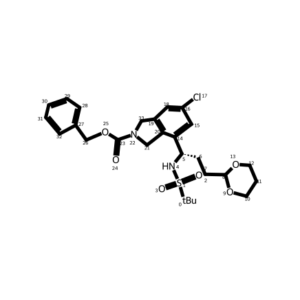 CC(C)(C)S(=O)(=O)N[C@@H](CCC1OCCCO1)c1cc(Cl)cc2c1CN(C(=O)OCc1ccccc1)C2